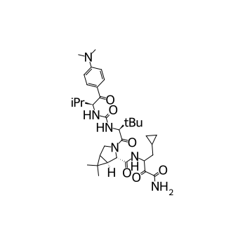 CC(C)[C@H](NC(=O)N[C@H](C(=O)N1CC2[C@@H]([C@H]1C(=O)NC(CC1CC1)C(=O)C(N)=O)C2(C)C)C(C)(C)C)C(=O)c1ccc(N(C)C)cc1